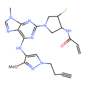 C#CCCn1cc(Nc2nc(N3CC(F)C(NC(=O)C=C)C3)nc3c2ncn3C)c(OC)n1